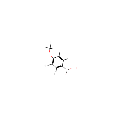 [2H]c1c([2H])c(B(O)O)c([2H])c([2H])c1OC([2H])([2H])[2H]